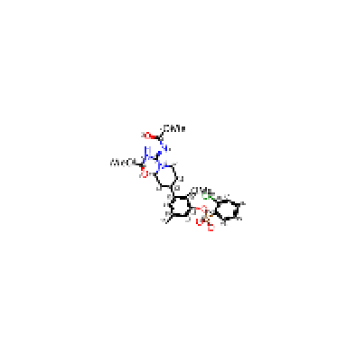 COC(=O)N=C(NC(=O)OC)N1CCC(c2cc(C)cc(OS(=O)(=O)c3ccccc3Cl)c2OC)CC1